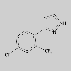 FC(F)(F)c1cc(Cl)ccc1-c1cc[nH]n1